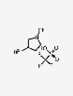 CCCC1CCN(CC)C1.O=S(=O)(O)C(F)(F)F